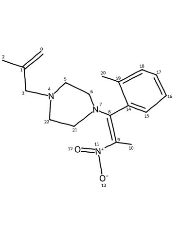 C=C(C)CN1CCN(/C(=C(/C)[N+](=O)[O-])c2ccccc2C)CC1